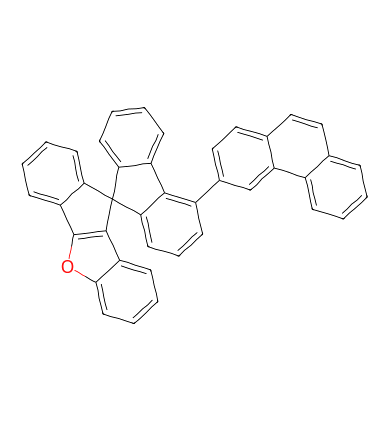 c1ccc2c(c1)-c1oc3ccccc3c1C21c2ccccc2-c2c(-c3ccc4ccc5ccccc5c4c3)cccc21